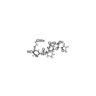 COCCSc1cc(NC(=O)N2CCCc3cc(CN(C)C(=O)[C@@H]4CCCO4)c(C=O)nc32)ncc1C#N